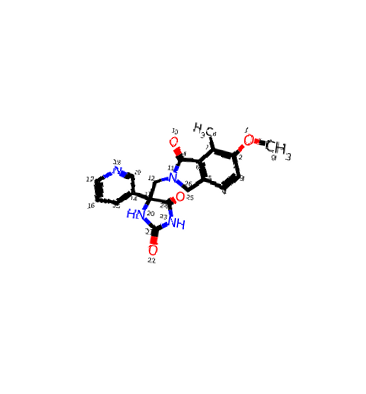 COc1ccc2c(c1C)C(=O)N(CC1(c3cccnc3)NC(=O)NC1=O)C2